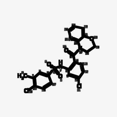 Cc1cc(S(=O)(=O)Nc2cc(Cl)cnc2C(=O)N2CCOc3cccnc32)ccc1Cl